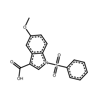 COc1ccc2c(c1)c(C(=O)O)cn2S(=O)(=O)c1ccccc1